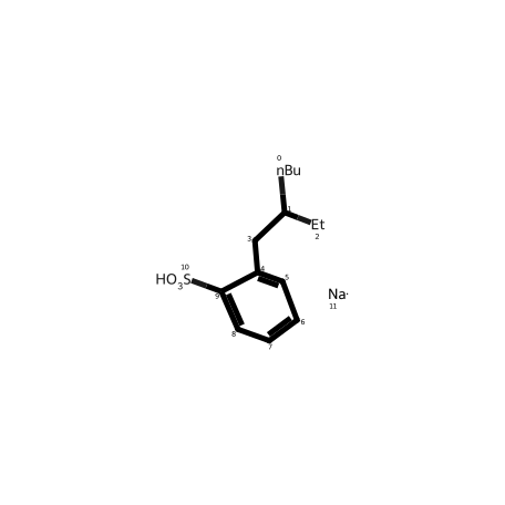 CCCCC(CC)Cc1ccccc1S(=O)(=O)O.[Na]